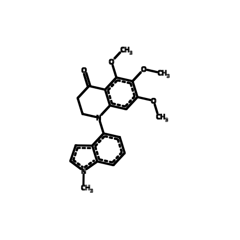 COc1cc2c(c(OC)c1OC)C(=O)CCN2c1cccc2c1ccn2C